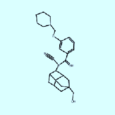 N#CN(C(=N)c1cccc(OCC2CCCCC2)c1)C1C2CC3CC1CC(CO)(C3)C2